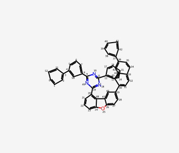 c1ccc(-c2cccc(-c3nc(-c4ccccc4)nc(-c4cccc5oc6ccc(-c7ccc8ccc(-c9ccccc9)cc8c7)cc6c45)n3)c2)cc1